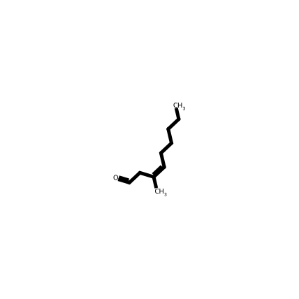 CCCCCC=C(C)CC=O